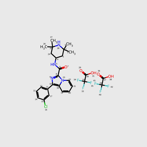 CC1(C)CC(NC(=O)c2nc(-c3cccc(Cl)c3)c3ccccn23)CC(C)(C)N1.O=C(O)C(F)(F)F.O=C(O)C(F)(F)F